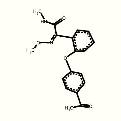 CNC(=O)C(=NOC)c1ccccc1Oc1ccc(C(C)=O)cc1